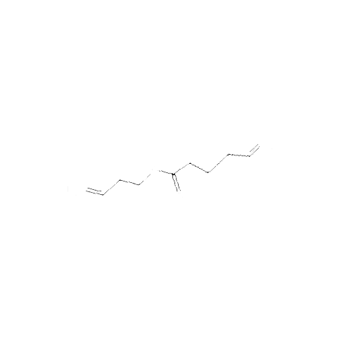 C=CCCCC(=O)OCCC=C